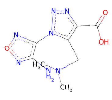 CN(C)Cc1c(C(=O)O)nnn1-c1nonc1N